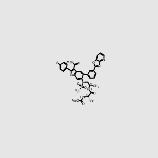 CNC(=O)c1c(-c2ccc(F)cc2)oc2cc(N(C[C@@H](C)NC(=O)[C@@H](NC(=O)OC)C(C)C)S(C)(=O)=O)c(-c3cccc(-c4nc5ncccc5o4)c3)cc12